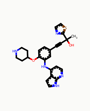 CC(O)(C#Cc1ccc(OC2CCNCC2)c(Nc2ccnc3[nH]ccc23)c1)c1nccs1